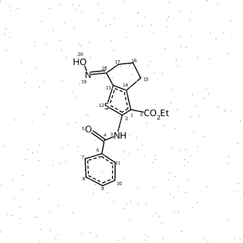 CCOC(=O)c1c(NC(=O)c2ccccc2)sc2c1CCCC2=NO